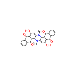 [2H]n1c2cc(O)c3c(=O)c4ccccc4c(=O)c3c2n([2H])c2cc(O)c3c(=O)c4ccccc4c(=O)c3c21